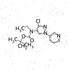 CCN(C(=O)OC(C)(C)C)c1cn(-c2cccnc2)nc1Cl